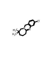 CC1(C)CCCC2=Nc3cc(Cl)ccc3CN2C1